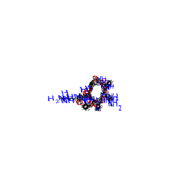 N=C(N)NCCC[C@@H]1NC[C@H](C(=O)N[C@H]2CC(=O)NCCCC[C@@H](C(N)=O)NC(=O)[C@H](Cc3c[nH]c4ccccc34)NC(=O)[C@H](CCCNC(=N)N)NC(=O)[C@@H](Cc3ccccc3)NC(=O)[C@H](COCc3ccccc3)NC2=O)NC1=O